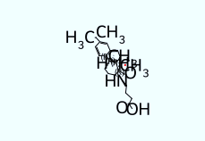 CC(C)C1=CC2=CC[C@@H]3[C@@](C)(CCC[C@@]3(C)C(=O)NCCCC(=O)O)[C@H]2C=C1